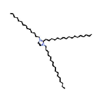 CCCCCCCCCCCCCCCCCC1N(CCCCCCCCCCCCCC)C=CN1CCCCCCCCCCCCCCCCC